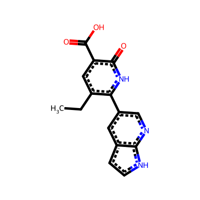 CCc1cc(C(=O)O)c(=O)[nH]c1-c1cnc2[nH]ccc2c1